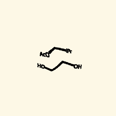 CC(=O)OCC(C)C.OCCO